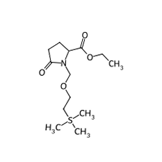 CCOC(=O)C1CCC(=O)N1COCCS(C)(C)C